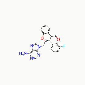 Nc1ncnc2c1ncn2CC1=C(c2cccc(F)c2)C(C=O)c2ccccc2O1